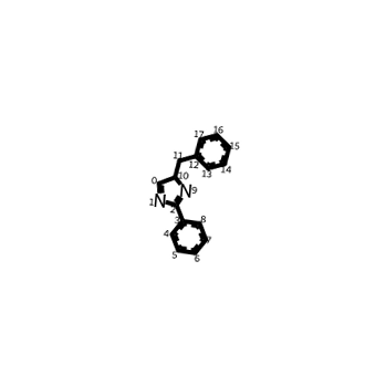 C1=NC(c2ccccc2)=NC1Cc1ccccc1